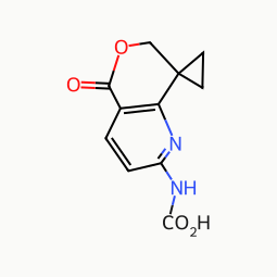 O=C(O)Nc1ccc2c(n1)C1(CC1)COC2=O